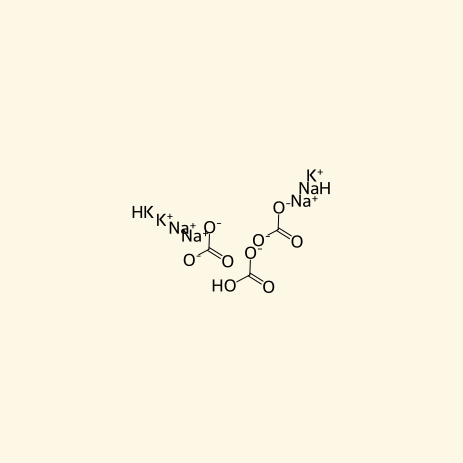 O=C([O-])O.O=C([O-])[O-].O=C([O-])[O-].[K+].[K+].[KH].[Na+].[Na+].[Na+].[NaH]